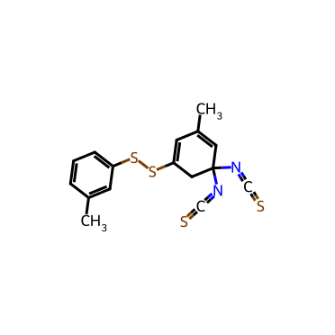 CC1=CC(N=C=S)(N=C=S)CC(SSc2cccc(C)c2)=C1